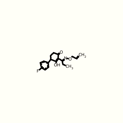 C=CCON=C(CC)C1=C(O)C(c2ccc(F)cc2)CCC1=O